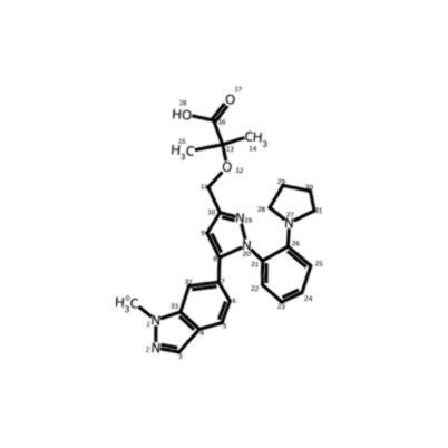 Cn1ncc2ccc(-c3cc(COC(C)(C)C(=O)O)nn3-c3ccccc3N3CCCC3)cc21